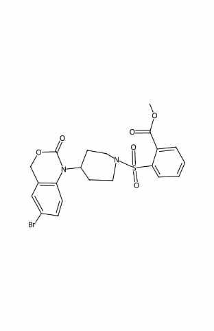 COC(=O)c1ccccc1S(=O)(=O)N1CCC(N2C(=O)OCc3cc(Br)ccc32)CC1